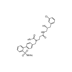 CCCC(=O)N(CCC(=O)NC[C@@H](S)Cc1cccc(Cl)c1)Cc1ccc(-c2ccccc2S(=O)(=O)NC(C)=O)cc1